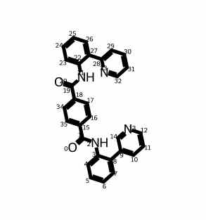 O=C(Nc1ccccc1-c1cccnc1)c1ccc(C(=O)Nc2ccccc2-c2ccccn2)cc1